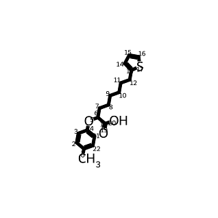 Cc1ccc(OC(CCCCCCc2cccs2)C(=O)O)cc1